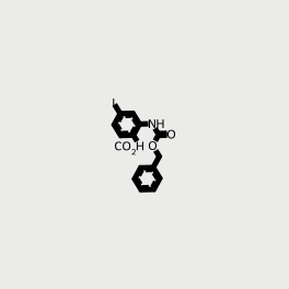 O=C(Nc1cc(I)ccc1C(=O)O)OCc1ccccc1